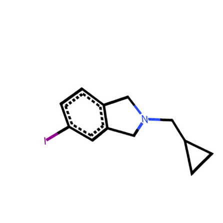 Ic1ccc2c(c1)CN(CC1CC1)C2